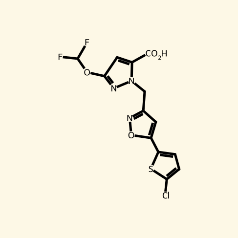 O=C(O)c1cc(OC(F)F)nn1Cc1cc(-c2ccc(Cl)s2)on1